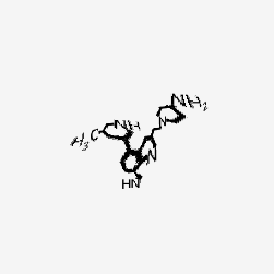 CC1CNCC(c2ccc(C=N)c3ncc(CCN4CCC(N)CC4)cc23)C1